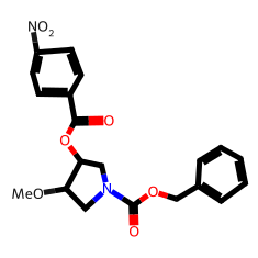 COC1CN(C(=O)OCc2ccccc2)CC1OC(=O)c1ccc([N+](=O)[O-])cc1